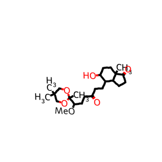 COC(CCC(=O)CCC1C(O)CCC2(C)C(=O)CCC12)C1(C)OCC(C)(C)CO1